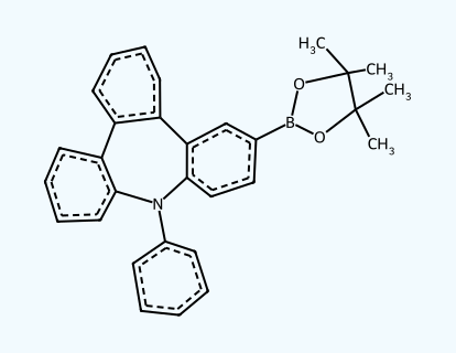 CC1(C)OB(c2ccc3c(c2)-c2ccccc2-c2ccccc2N3c2ccccc2)OC1(C)C